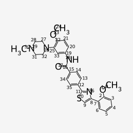 COc1ccccc1-c1csc(-c2ccc(C(=O)Nc3ccc(OC)c(N4CCN(C)CC4)c3)cc2)n1